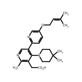 CC(C)=CCOc1ccc(-c2cnc(C)c(CC(=O)O)c2N2CCC(C)(C)CC2)nc1